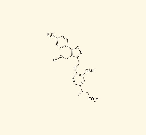 CCOCc1c(COc2ccc(C(C)CC(=O)O)cc2OC)noc1-c1ccc(C(F)(F)F)cc1